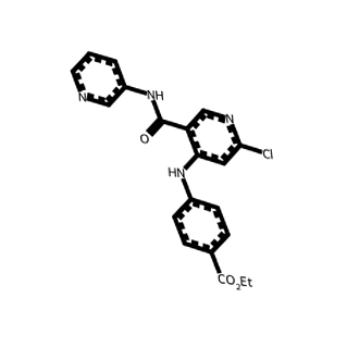 CCOC(=O)c1ccc(Nc2cc(Cl)ncc2C(=O)Nc2cccnc2)cc1